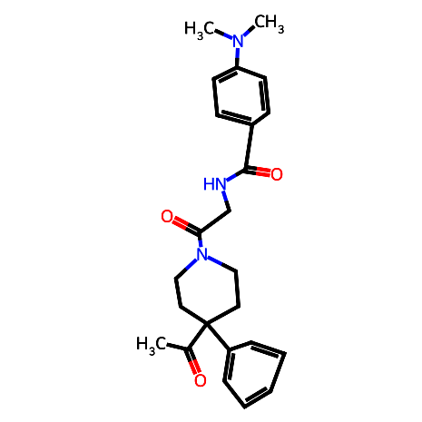 CC(=O)C1(c2ccccc2)CCN(C(=O)CNC(=O)c2ccc(N(C)C)cc2)CC1